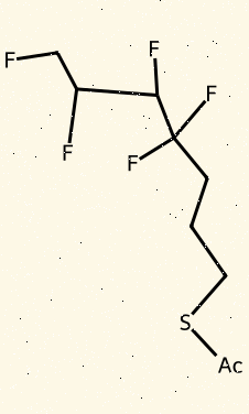 CC(=O)SCCCC(F)(F)C(F)C(F)CF